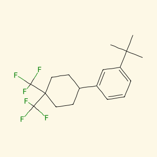 CC(C)(C)c1cccc(C2CCC(C(F)(F)F)(C(F)(F)F)CC2)c1